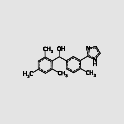 Cc1cc(C)c(C(O)c2ccc(C)c(-c3ncc[nH]3)c2)c(C)c1